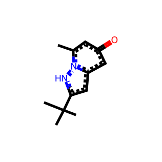 Cc1cc(=O)cc2cc(C(C)(C)C)[nH]n12